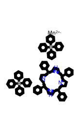 C1=Cc2nc1c(-c1ccccc1)c1ccc([nH]1)c(-c1ccccc1)c1nc(c(-c3ccccc3)c3ccc([nH]3)c2-c2ccccc2)C=C1.[Mn+2].c1ccc([B-](c2ccccc2)(c2ccccc2)c2ccccc2)cc1.c1ccc([B-](c2ccccc2)(c2ccccc2)c2ccccc2)cc1